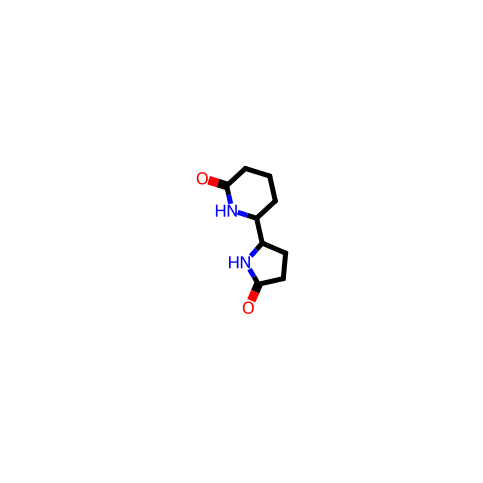 O=C1CCCC(C2CCC(=O)N2)N1